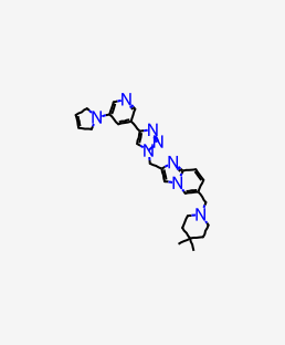 CC1(C)CCN(Cc2ccc3nc(Cn4cc(-c5cncc(N6CC=CC6)c5)nn4)cn3c2)CC1